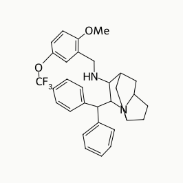 COc1ccc(OC(F)(F)F)cc1CNC1C2CC3CCC(C2)N3C1C(c1ccccc1)c1ccccc1